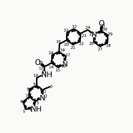 Cc1nc2[nH]ccc2cc1CNC(=O)c1cncc(Cc2ccc(Cn3ccccc3=O)cc2)c1